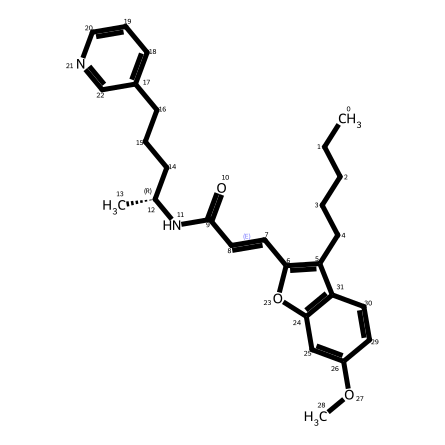 CCCCCc1c(/C=C/C(=O)N[C@H](C)CCCc2cccnc2)oc2cc(OC)ccc12